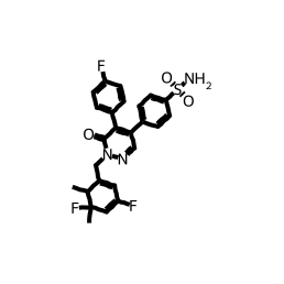 CC1C(Cn2ncc(-c3ccc(S(N)(=O)=O)cc3)c(-c3ccc(F)cc3)c2=O)=CC(F)=CC1(C)F